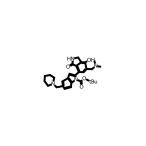 CN(C)Cc1cc(-c2cc3cc(CN4CCCCC4)ccc3n2C(=O)OC(C)(C)C)c2c(c1O)CNC2=O